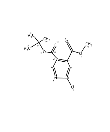 COC(=O)c1cc(Cl)ncc1C(=O)OC(C)(C)C